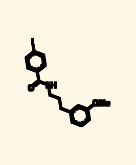 COc1cccc(CCCNC(=O)c2ccc(I)cc2)c1